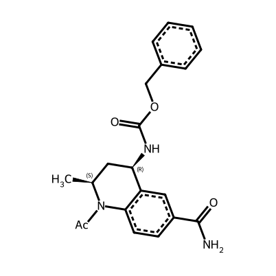 CC(=O)N1c2ccc(C(N)=O)cc2[C@H](NC(=O)OCc2ccccc2)C[C@@H]1C